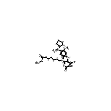 Cc1cc2nc3c(=O)[nH]c(=O)nc-3n(CCCCCCC(=O)OC(C)(C)C)c2cc1N(C)C1CCCC1